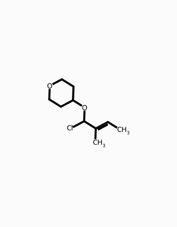 CC=C(C)C(Cl)OC1CCOCC1